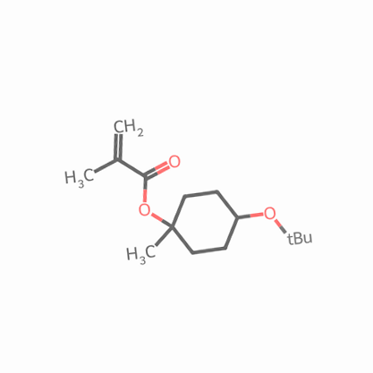 C=C(C)C(=O)OC1(C)CCC(OC(C)(C)C)CC1